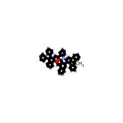 CC1(c2ccccc2)c2ccccc2-c2cc(N(c3ccccc3-c3ccc4c(c3)c(-c3ccccc3)c(-c3ccccc3)c3ccccc34)c3cccc4c3ccc3ccccc34)ccc21